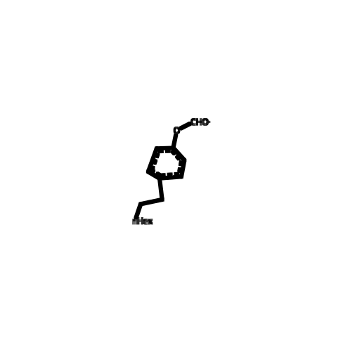 CCCCCCCCc1ccc(O[C]=O)cc1